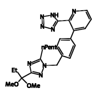 CCCCCc1nc(C(CC)(OC)OC)nn1Cc1ccc(-c2cccnc2-c2nnn[nH]2)cc1